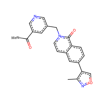 CNC(=O)c1cncc(Cn2ccc3cc(-c4conc4C)ccc3c2=O)c1